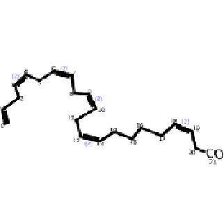 C=CC/C=C\C/C=C\C/C=C\C/C=C\CCCC/C=C\CC(=O)O